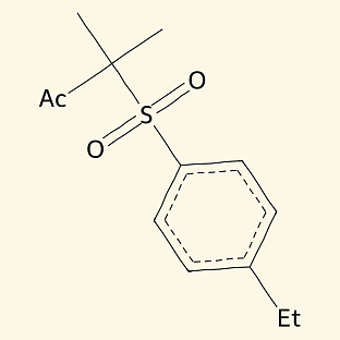 CCc1ccc(S(=O)(=O)C(C)(C)C(C)=O)cc1